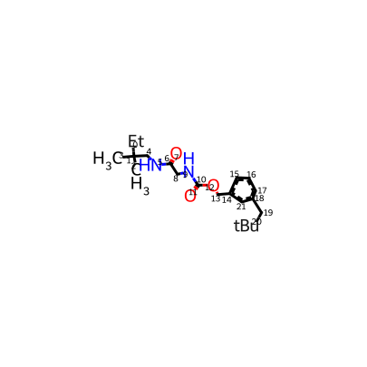 CCC(C)(C)CNC(=O)CNC(=O)OCc1cccc(CC(C)(C)C)c1